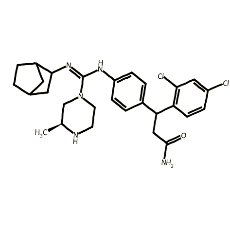 C[C@H]1CN(/C(=N\C2CC3CCC2C3)Nc2ccc(C(CC(N)=O)c3ccc(Cl)cc3Cl)cc2)CCN1